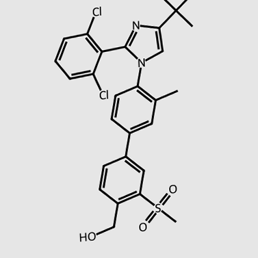 Cc1cc(-c2ccc(CO)c(S(C)(=O)=O)c2)ccc1-n1cc(C(C)(C)O)nc1-c1c(Cl)cccc1Cl